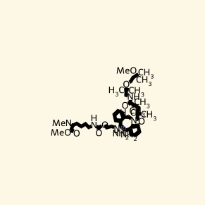 CNC(CCCCNC(=O)OCCN(N)/C1=C(\N)c2ccccc2N(C(=O)C(C)(C)CC(C)(C)C(=O)NCC(C)(C)OCCC(C)(C)OC)Cc2ccccc21)C(=O)OC